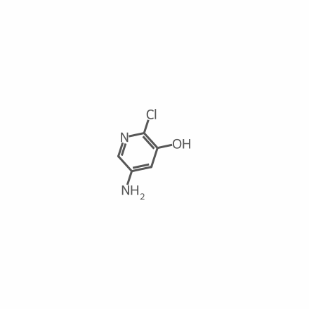 Nc1cnc(Cl)c(O)c1